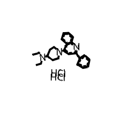 CCN(CC)C1CCN(c2cc(-c3ccccc3)nc3ccccc23)CC1.Cl.Cl